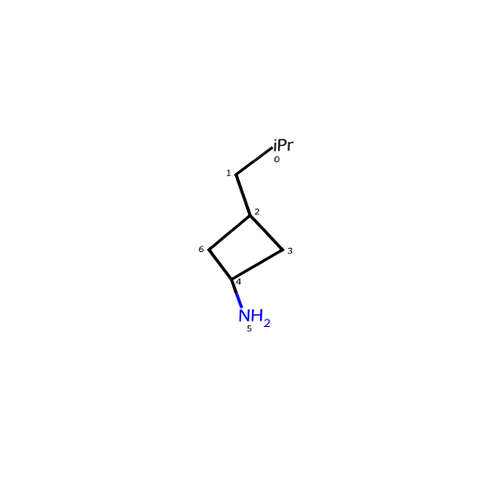 CC(C)CC1CC(N)C1